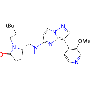 COc1cnccc1-c1cnn2ccc(NC[C@@H]3CCC(=O)N3CCC(C)(C)C)nc12